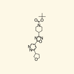 CC(C)(C)OC(=O)N1CCC(c2noc(-c3cnnc(C4CCOC4)c3)n2)CC1